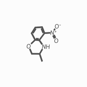 CC1COc2cccc([N+](=O)[O-])c2N1